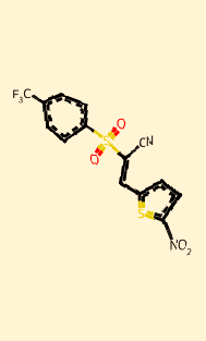 N#CC(=Cc1ccc([N+](=O)[O-])s1)S(=O)(=O)c1ccc(C(F)(F)F)cc1